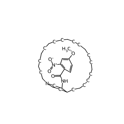 COc1ccc(C(=O)NC2CN3CCCCCCCCCCCCCCCCCCCCCC2CC3)c([N+](=O)[O-])c1